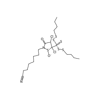 CCCCSSP(=S)(SSCCCC)C1(Cl)C(Cl)C(=O)N(CCCCCCCC#N)[S+]1[O-]